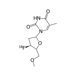 COCC1OC(n2cc(C)c(=O)[nH]c2=O)C[C@@H]1[18F]